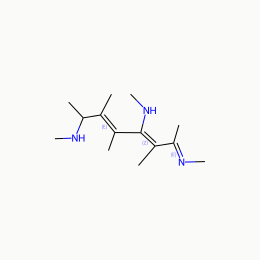 C/N=C(C)/C(C)=C(NC)/C(C)=C(\C)C(C)NC